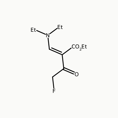 CCOC(=O)/C(=C\N(CC)CC)C(=O)CF